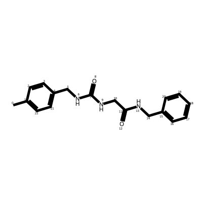 Cc1ccc(CNC(=O)NCC(=O)NCc2ccccc2)cc1